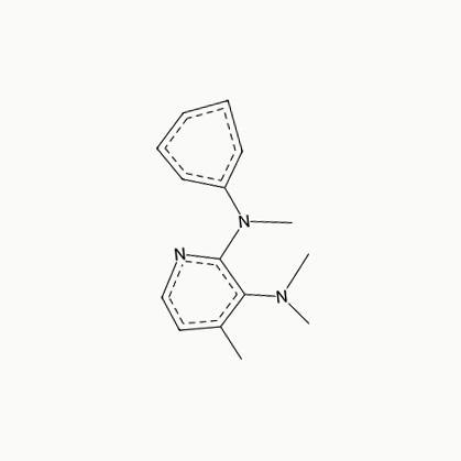 Cc1ccnc(N(C)c2ccccc2)c1N(C)C